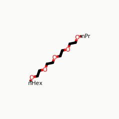 CCCCCCOCCOCCOCCOCCOCCC